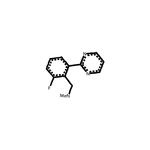 CNCc1c(F)cccc1-c1ncccn1